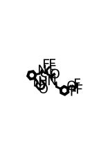 O=C(NCCc1cccc(OC(F)(F)F)c1)c1sc(-c2ccccc2N2CCOCC2)nc1C(F)(F)F